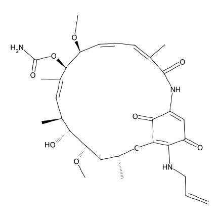 C=CCNC1=C2C[C@H](C)C[C@H](OC)[C@H](O)[C@@H](C)C=C(C)[C@@H](OC(N)=O)[C@@H](OC)C=CC=C(C)C(=O)NC(=CC1=O)C2=O